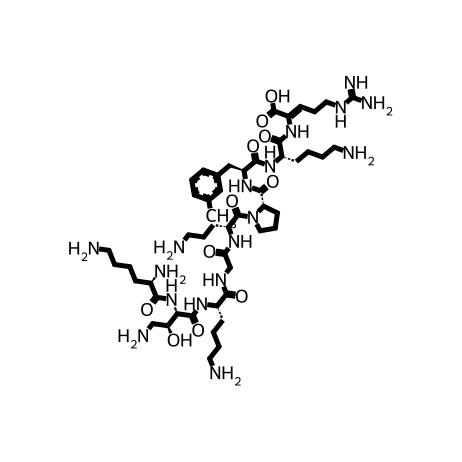 Cc1cccc(C[C@H](NC(=O)[C@@H]2CCCN2C(=O)[C@@H](CCCN)NC(=O)CNC(=O)[C@H](CCCCN)NC(=O)[C@@H](NC(=O)[C@@H](N)CCCCN)[C@@H](O)CN)C(=O)N[C@@H](CCCCN)C(=O)N/C(=C\CCNC(=N)N)C(=O)O)c1